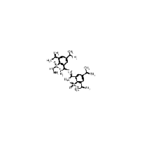 CC(C)c1cc(C(C)C)c(S(=O)(=O)Cl)c(C(C)C)c1.CC(C)c1cc(C(C)C)c(S(=O)(=O)NN)c(C(C)C)c1